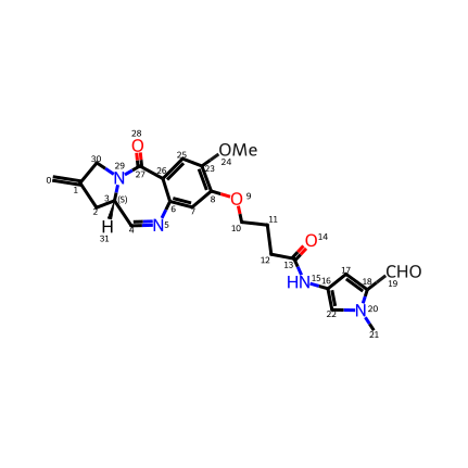 C=C1C[C@H]2C=Nc3cc(OCCCC(=O)Nc4cc(C=O)n(C)c4)c(OC)cc3C(=O)N2C1